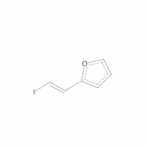 IC=Cc1ccco1